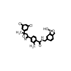 Cc1cc(C2=NOC(C)(c3cc(Cl)cc(Cl)c3)C2)ccc1C(=O)NCc1ccc2c(c1)B(O)OC2